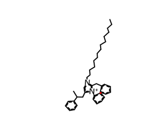 CCCCCCCCCCCCCCCn1cc(CC(C)c2ccccc2)[n+](-c2ccccc2)c1Cc1ccccc1